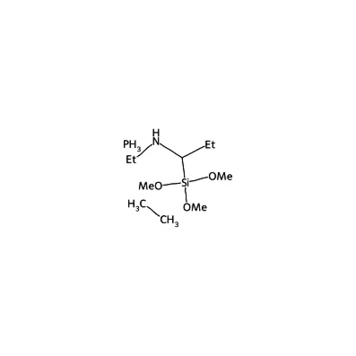 CC.CCNC(CC)[Si](OC)(OC)OC.P